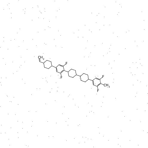 C=CC1CCC(c2cc(F)c(C3CCC(C4CCC(c5cc(F)c(C)c(F)c5)CC4)CC3)c(F)c2)CC1